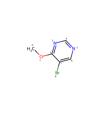 COc1n[c]ncc1Br